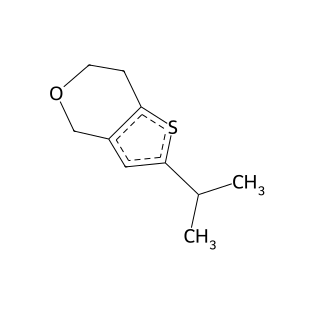 CC(C)c1cc2c(s1)CCOC2